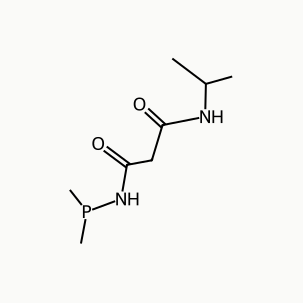 CC(C)NC(=O)CC(=O)NP(C)C